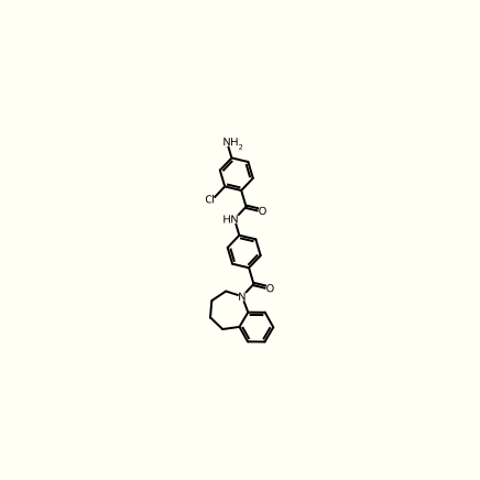 Nc1ccc(C(=O)Nc2ccc(C(=O)N3CCCCc4ccccc43)cc2)c(Cl)c1